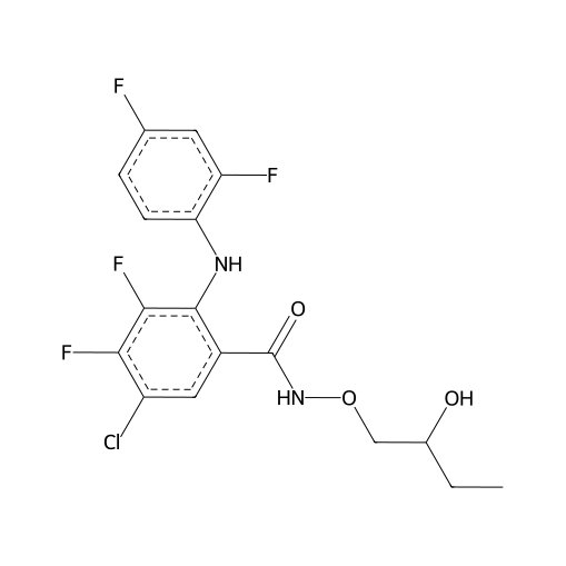 CCC(O)CONC(=O)c1cc(Cl)c(F)c(F)c1Nc1ccc(F)cc1F